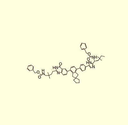 CCC(C)(C)C[C@H](NC(=O)OCc1ccccc1)c1ncc(-c2ccc(-c3ccc(-c4ccc5nc([C@@H](C)CC(C)(C)CNC(=O)OCc6ccccc6)[nH]c(=O)c5c4)c4c3CC3(CCCC3)C4)cc2)[nH]1